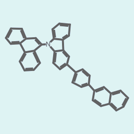 c1ccc2cc(-c3ccc(-c4ccc5c(c4)c4ccccc4n5-c4cc5ccccc5c5ccccc45)cc3)ccc2c1